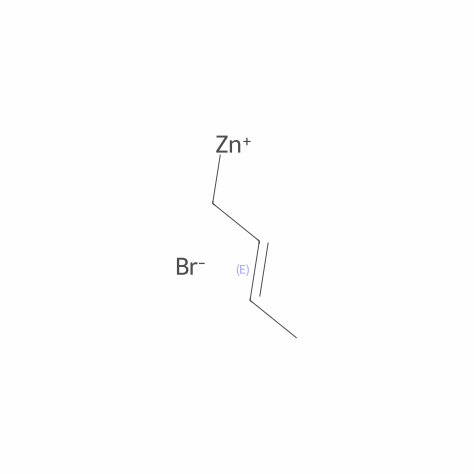 C/C=C/[CH2][Zn+].[Br-]